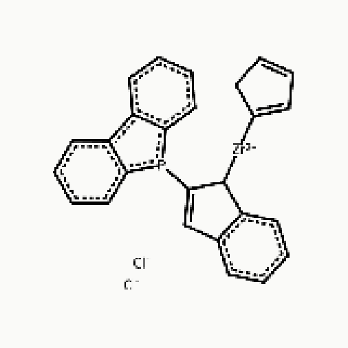 C1=CC[C]([Zr+2][CH]2C(p3c4ccccc4c4ccccc43)=Cc3ccccc32)=C1.[Cl-].[Cl-]